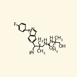 CC(C)CC(c1ccc2c(cnn2-c2ccc(F)cc2)c1)C(C)(C)CNC(=O)NC(C)(C)CO